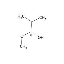 CO[C@@H](O)C(C)C